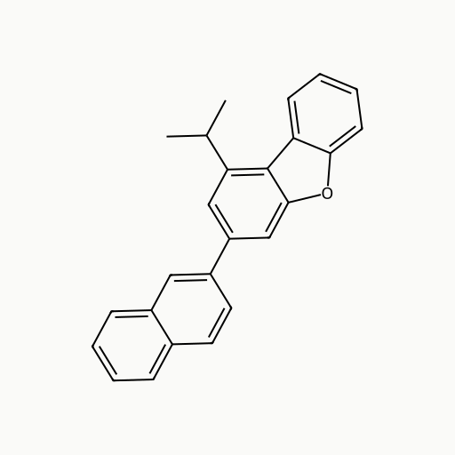 CC(C)c1cc(-c2ccc3ccccc3c2)cc2oc3ccccc3c12